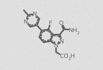 Cc1ncc(-c2ccc3c(c(C(N)=O)nn3CC(=O)O)c2F)cn1